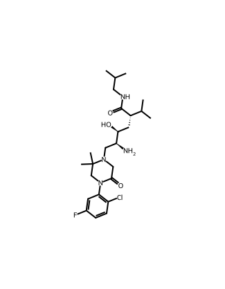 CC(C)CNC(=O)[C@@H](C[C@H](O)[C@@H](N)CN1CC(=O)N(c2cc(F)ccc2Cl)CC1(C)C)C(C)C